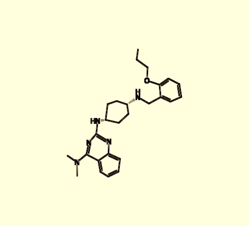 CCCOc1ccccc1CN[C@H]1CC[C@@H](Nc2nc(N(C)C)c3ccccc3n2)CC1